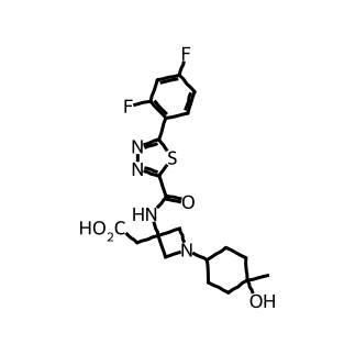 CC1(O)CCC(N2CC(CC(=O)O)(NC(=O)c3nnc(-c4ccc(F)cc4F)s3)C2)CC1